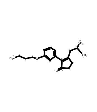 CCCCOc1cccc(C2=C(CC(C)C)CCC2=O)c1